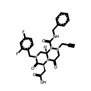 C#CCN1CC(=O)N2[C@@H](CC(=O)O)C(=O)N(Cc3ccc(F)cc3F)C[C@@H]2N1C(=O)NCc1ccccc1